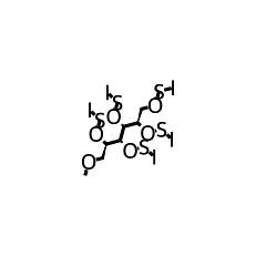 COC[C@@H](OSI)[C@@H](OSI)[C@H](OSI)[C@@H](COSI)OSI